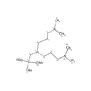 CO[Si](CN(CCCN(C)C)CCCN(C)C)(OC)OC